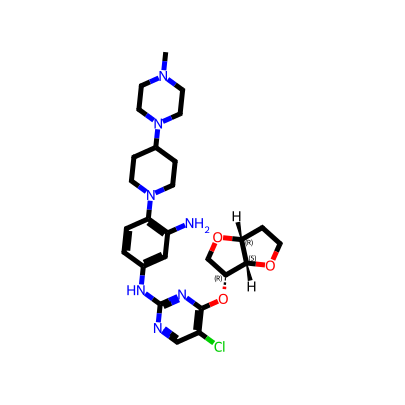 CN1CCN(C2CCN(c3ccc(Nc4ncc(Cl)c(O[C@@H]5CO[C@@H]6CCO[C@@H]65)n4)cc3N)CC2)CC1